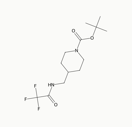 CC(C)(C)OC(=O)N1CCC(CNC(=O)C(F)(F)F)CC1